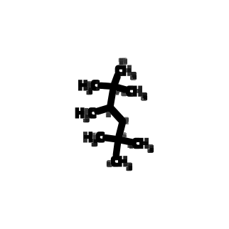 CC(CC(C)(C)C)C(C)(C)C